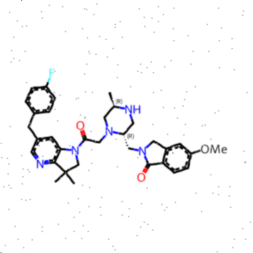 COc1ccc2c(c1)CN(C[C@H]1CN[C@H](C)CN1CC(=O)N1CC(C)(C)c3ncc(Cc4ccc(F)cc4)cc31)C2=O